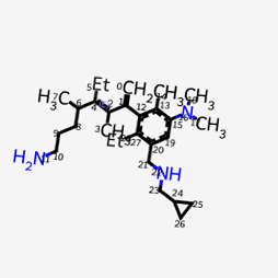 C=C(/C(C)=C(\CC)C(C)CCCN)c1c(C)c(N(C)C)cc(CNCC2CC2)c1CC